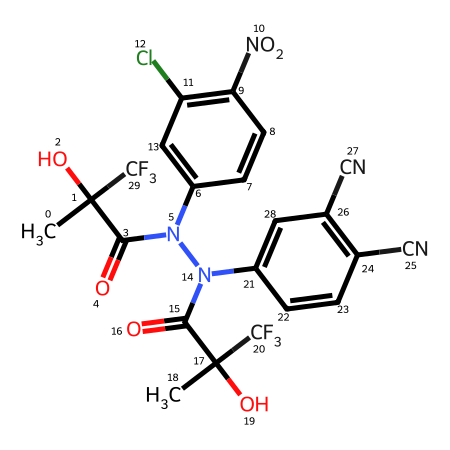 CC(O)(C(=O)N(c1ccc([N+](=O)[O-])c(Cl)c1)N(C(=O)C(C)(O)C(F)(F)F)c1ccc(C#N)c(C#N)c1)C(F)(F)F